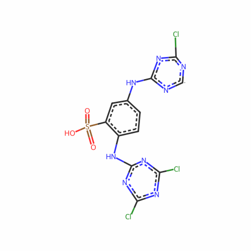 O=S(=O)(O)c1cc(Nc2n[c]nc(Cl)n2)ccc1Nc1nc(Cl)nc(Cl)n1